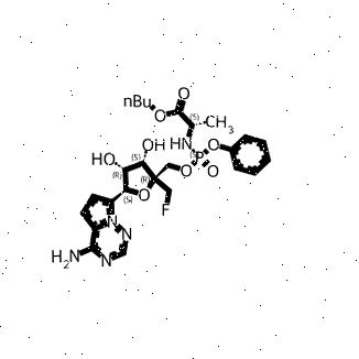 CCCCOC(=O)[C@H](C)N[P@](=O)(OC[C@@]1(CF)O[C@@H](c2ccc3c(N)ncnn23)[C@H](O)[C@@H]1O)Oc1ccccc1